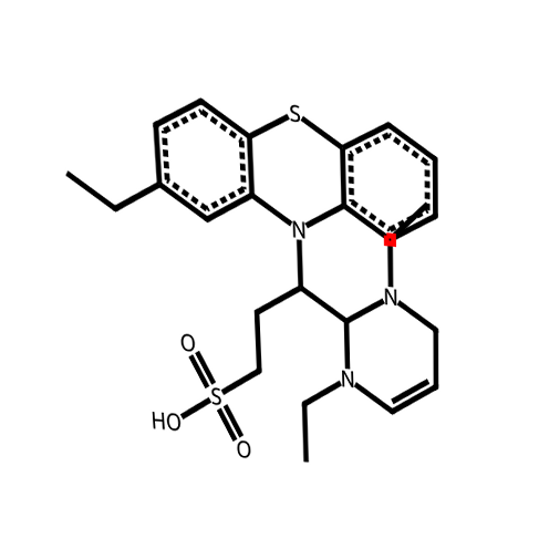 CCc1ccc2c(c1)N(C(CCS(=O)(=O)O)C1N(CC)C=CCN1CC)c1ccccc1S2